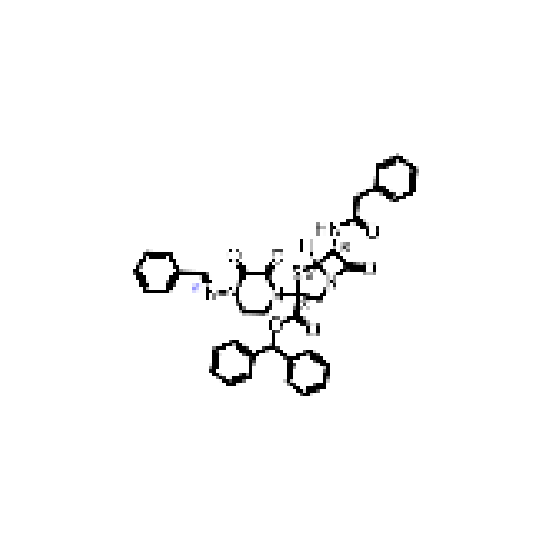 O=C(Cc1ccccc1)N[C@@H]1C(=O)N2C[C@@](C(=O)OC(c3ccccc3)c3ccccc3)(N3CCN(/N=C/c4ccccc4)C(=O)C3=O)S[C@@H]12